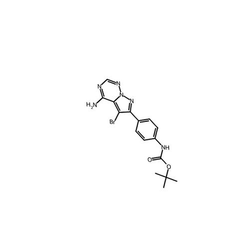 CC(C)(C)OC(=O)Nc1ccc(-c2nn3ncnc(N)c3c2Br)cc1